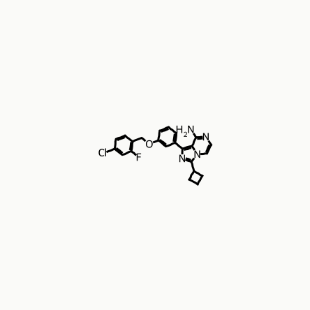 Nc1nccn2c(C3CCC3)nc(-c3cccc(OCc4ccc(Cl)cc4F)c3)c12